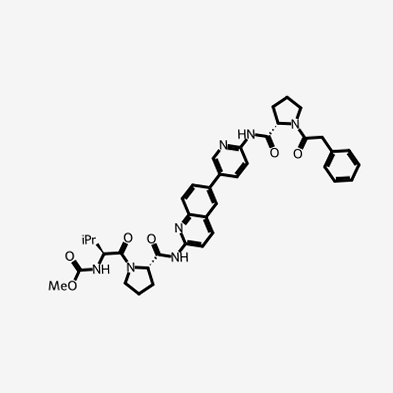 COC(=O)N[C@H](C(=O)N1CCC[C@H]1C(=O)Nc1ccc2cc(-c3ccc(NC(=O)[C@@H]4CCCN4C(=O)Cc4ccccc4)nc3)ccc2n1)C(C)C